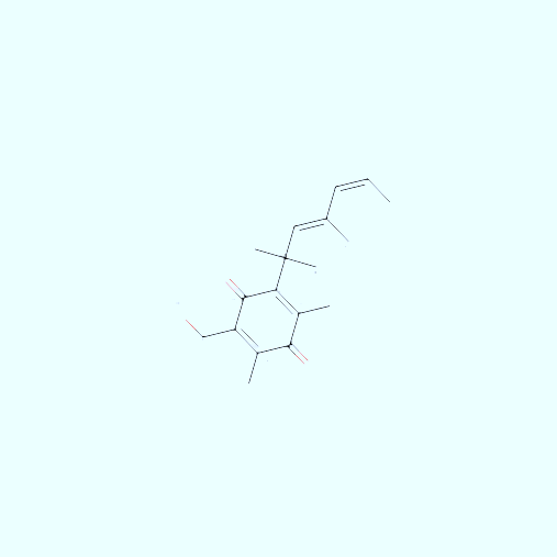 C/C=C\C(C)=C\C(C)(C)C1=C(C)C(=O)C(C)=C(CO)C1=O